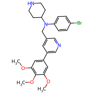 COc1cc(-c2cncc(CN(c3ccc(Br)cc3)C3CCNCC3)c2)cc(OC)c1OC